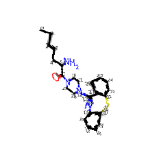 CCCCCC(N)C(=O)N1CCN(C2=Nc3ccccc3Sc3ccccc32)CC1